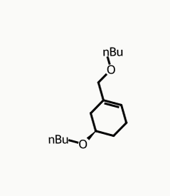 CCCCOCC1=CCC[C@@H](OCCCC)C1